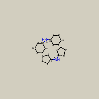 C1CCC(NC2CCCC2)C1.C1CCC(NC2CCCCC2)CC1